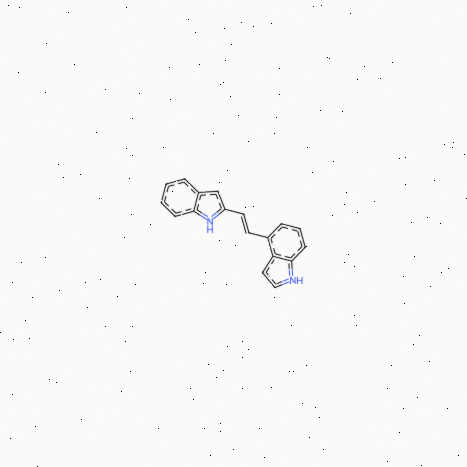 C(=Cc1cccc2[nH]ccc12)c1cc2ccccc2[nH]1